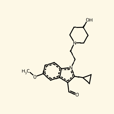 COc1ccc2c(c1)c(C=O)c(C1CC1)n2CCN1CCC(O)CC1